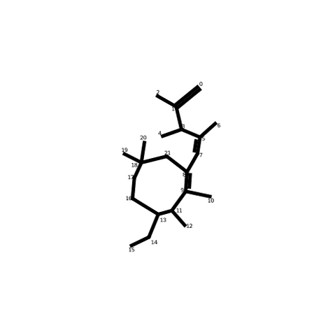 C=C(C)C(C)/C(C)=C\C1=C(/C)C(C)C(CC)CCC(C)(C)C1